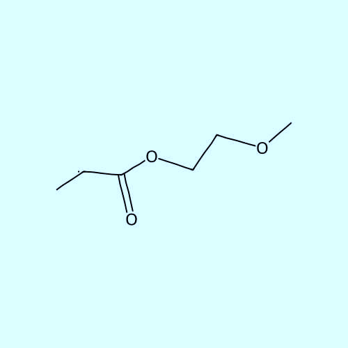 C[CH]C(=O)OCCOC